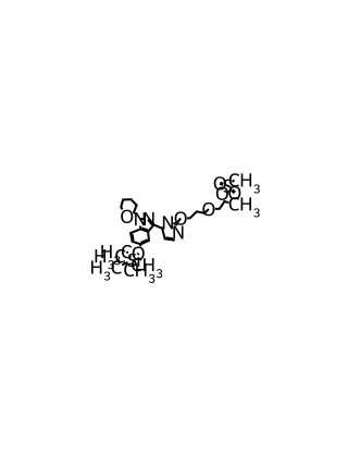 CC(COCCCOc1nccc(-c2nn(C3CCCCO3)c3ccc(O[Si](C)(C)C(C)(C)C)cc23)n1)OS(C)(=O)=O